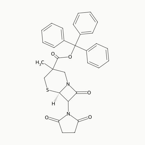 CC1(C(=O)OC(c2ccccc2)(c2ccccc2)c2ccccc2)CS[C@@H]2C(N3C(=O)CCC3=O)C(=O)N2C1